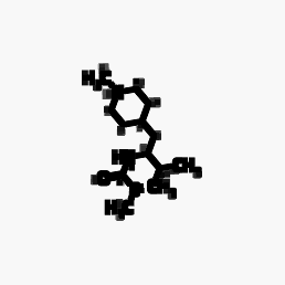 CSC(=O)NC(CC1CCN(C)CC1)C(C)C